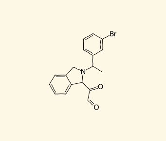 CC(c1cccc(Br)c1)N1Cc2ccccc2C1C(=O)C=O